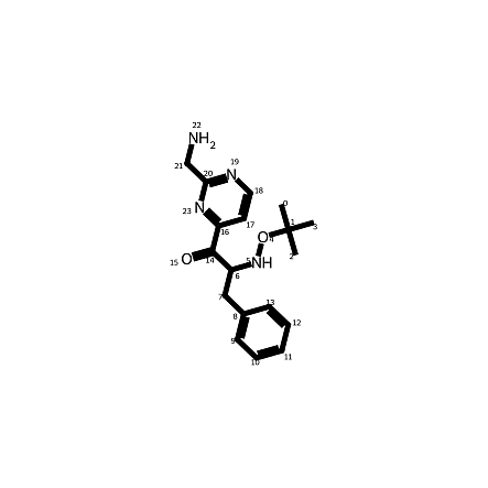 CC(C)(C)ONC(Cc1ccccc1)C(=O)c1ccnc(CN)n1